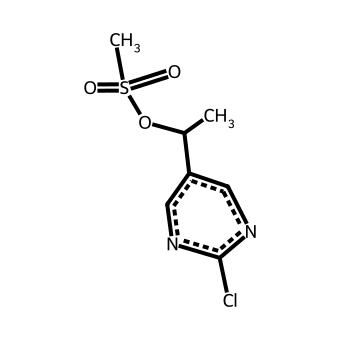 CC(OS(C)(=O)=O)c1cnc(Cl)nc1